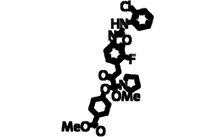 COC(=O)C1CCC(OC(OC)(C(=O)Cc2ccc3nc(Nc4ccccc4Cl)oc3c2F)N2CCCC2)CC1